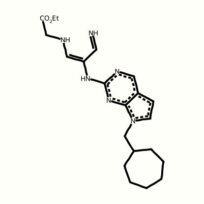 CCOC(=O)CN/C=C(\C=N)Nc1ncc2ccn(CC3CCCCCC3)c2n1